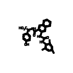 Cc1cc(C)c(NC(=O)Nc2cc3ccccc3cc2C(=O)N[C@H](C(=O)O)c2ccc(O)cc2)c(C)c1